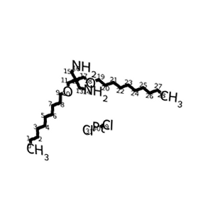 CCCCCCCCCCOCC(CN)(CN)COCCCCCCCCCC.[Cl][Pt][Cl]